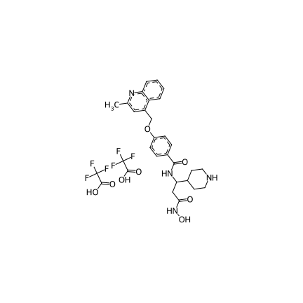 Cc1cc(COc2ccc(C(=O)NC(CC(=O)NO)C3CCNCC3)cc2)c2ccccc2n1.O=C(O)C(F)(F)F.O=C(O)C(F)(F)F